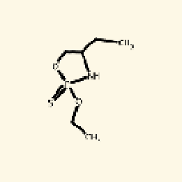 CCOP1(=S)NC(CC)CO1